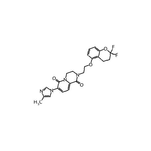 Cc1cn(-c2ccc3n(c2=O)CCN(CCOc2cccc4c2CCC(F)(F)O4)C3=O)cn1